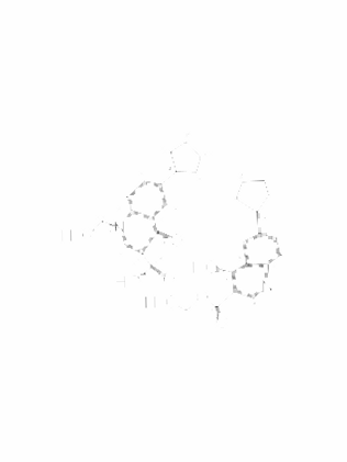 CCOC(=O)c1cnc2ccc(C3CCCC3)cc2c1O.CCn1cc(C(=O)O)c(=O)c2cc(C3CCCC3)ccc21